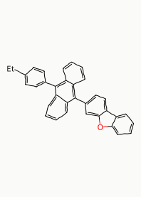 CCc1ccc(-c2c3ccccc3c(-c3ccc4c(c3)oc3ccccc34)c3ccccc23)cc1